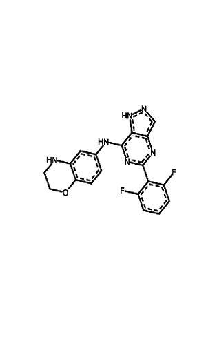 Fc1cccc(F)c1-c1nc(Nc2ccc3c(c2)NCCO3)c2[nH]ncc2n1